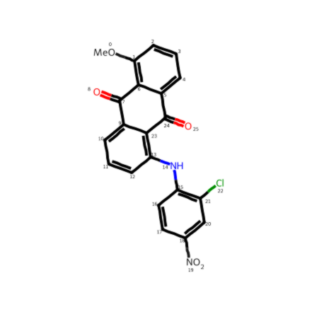 COc1cccc2c1C(=O)c1cccc(Nc3ccc([N+](=O)[O-])cc3Cl)c1C2=O